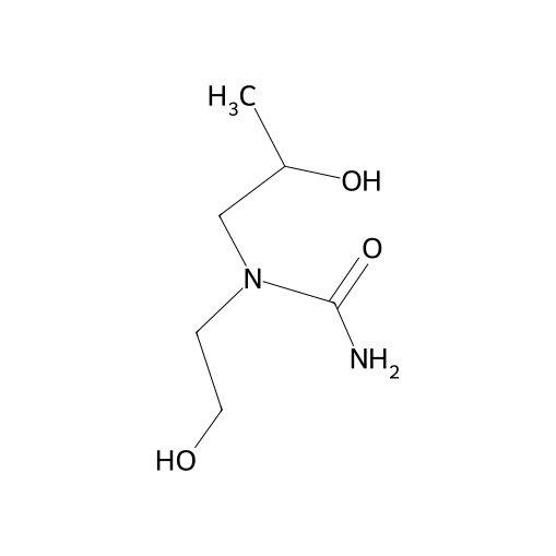 CC(O)CN(CCO)C(N)=O